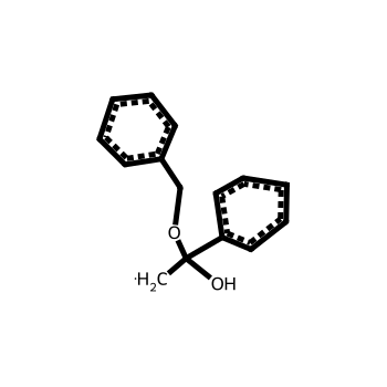 [CH2]C(O)(OCc1ccccc1)c1ccccc1